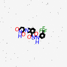 CN(C(=O)Nc1cccc(C(F)(F)F)c1)C(=O)c1cccc2c1CN(C1CCC(=O)NC1=O)C2